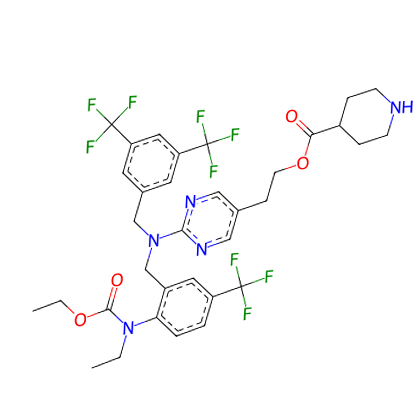 CCOC(=O)N(CC)c1ccc(C(F)(F)F)cc1CN(Cc1cc(C(F)(F)F)cc(C(F)(F)F)c1)c1ncc(CCOC(=O)C2CCNCC2)cn1